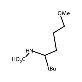 COCCCC(NC(=O)O)C(C)(C)C